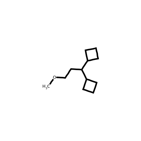 COCCC(C1CCC1)C1CCC1